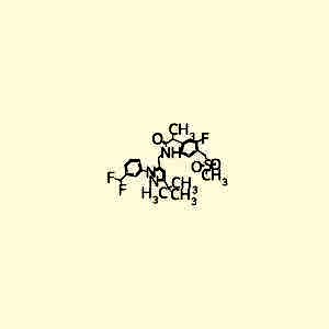 CC(C(=O)NCc1cc(C(C)(C)C)nn1-c1cccc(C(F)F)c1)c1ccc(CS(C)(=O)=O)c(F)c1